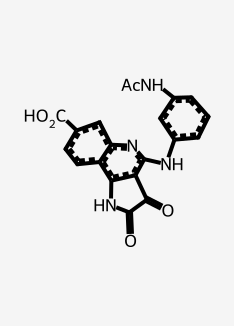 CC(=O)Nc1cccc(Nc2nc3cc(C(=O)O)ccc3c3c2C(=O)C(=O)N3)c1